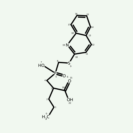 CCCC(CP(=O)(O)CSc1ccc2ccccc2n1)C(=O)O